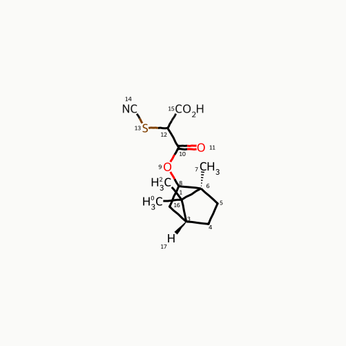 CC1(C)[C@@H]2CC[C@]1(C)C(OC(=O)C(SC#N)C(=O)O)C2